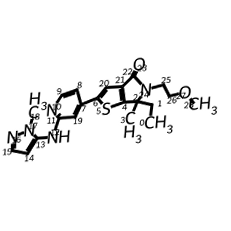 CCC1(C)c2sc(-c3ccnc(Nc4ccnn4C)c3)cc2C(=O)N1CCOC